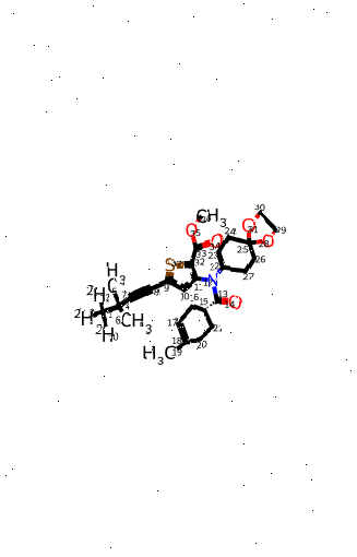 [2H]C([2H])([2H])C(C)(C)C#Cc1cc(N(C(=O)[C@H]2CC=C(C)CC2)C2CCC3(CC2)OCCO3)c(C(=O)OC)s1